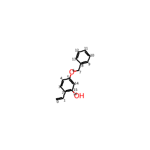 C=Cc1ccc(OCc2ccccc2)cc1O